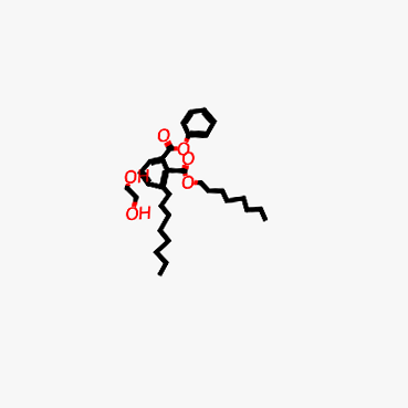 CCCCCCCCOC(=O)c1c(CCCCCCCC)cccc1C(=O)Oc1ccccc1.OCCO